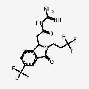 N=C(N)NC(=O)CC1c2ccc(C(F)(F)F)cc2C(=O)N1CCC(F)(F)F